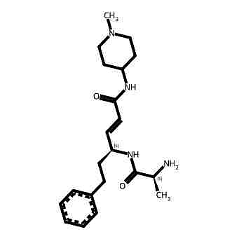 C[C@H](N)C(=O)N[C@H](C=CC(=O)NC1CCN(C)CC1)CCc1ccccc1